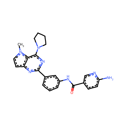 Cn1ccc2nc(-c3cccc(NC(=O)c4ccc(N)nc4)c3)nc(N3CCCC3)c21